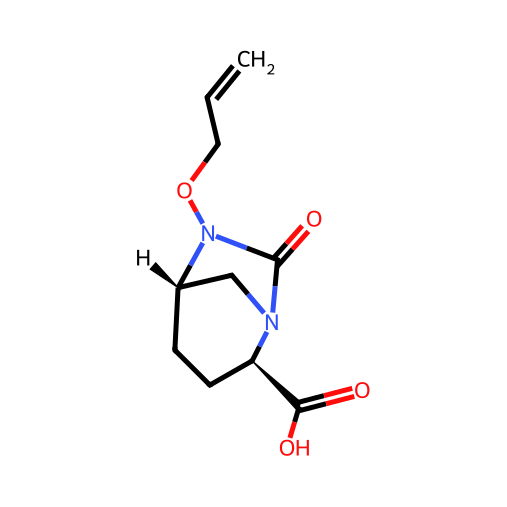 C=CCON1C(=O)N2C[C@@H]1CC[C@@H]2C(=O)O